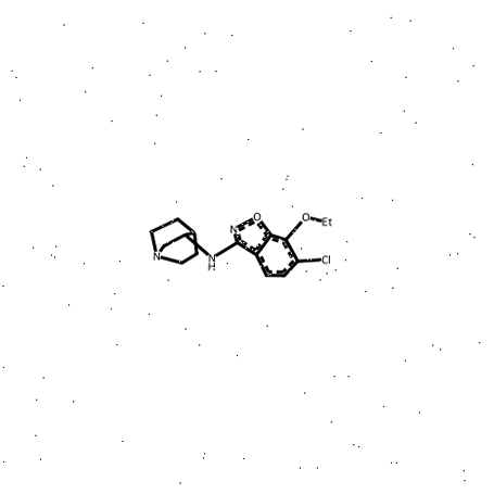 CCOc1c(Cl)ccc2c(NC3CN4CCC3CC4)noc12